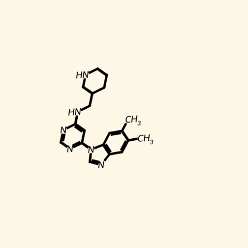 Cc1cc2ncn(-c3cc(NCC4CCCNC4)ncn3)c2cc1C